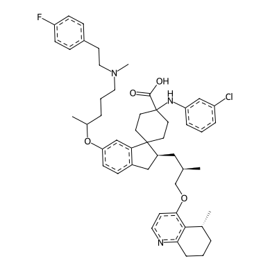 CC(CCCN(C)CCc1ccc(F)cc1)Oc1ccc2c(c1)C1(CCC(Nc3cccc(Cl)c3)(C(=O)O)CC1)[C@@H](C[C@@H](C)COc1ccnc3c1[C@H](C)CCC3)C2